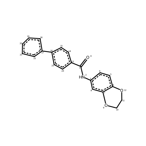 O=C(Nc1ccc2c(c1)OCCO2)c1ccc(-c2ccccc2)cc1